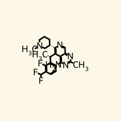 Cc1nc(N)c2c([C@@H](C)c3cccc(C(F)F)c3F)c([C@H]3CCCN(C)C3)ncc2n1